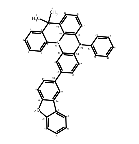 CC1(C)c2ccccc2N2c3cc(-c4ccc5oc6ccccc6c5c4)ccc3B(c3ccccc3)c3cccc1c32